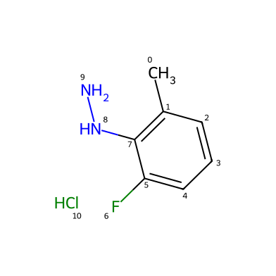 Cc1cccc(F)c1NN.Cl